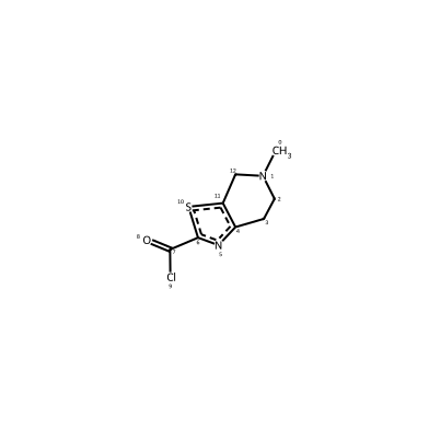 CN1CCc2nc(C(=O)Cl)sc2C1